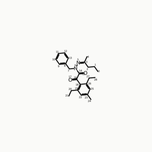 CCCC(C)=NN(Cc1ccccc1)C(=O)C(=O)c1c(CC)cc(C)cc1CC